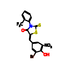 O=C1C(=Cc2cc(Br)c(O)c([N+](=O)[O-])c2)SC(=S)N1c1ccccc1C(F)(F)F